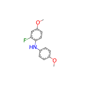 COc1ccc(Nc2ccc(OC)cc2F)cc1